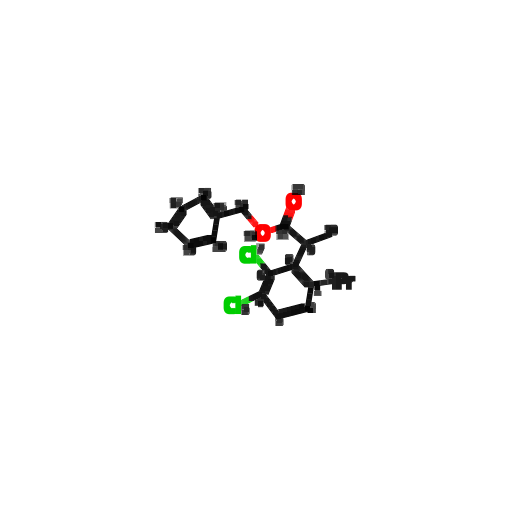 CC(C)c1ccc(Cl)c(Cl)c1C(C)C(=O)OCc1ccccc1